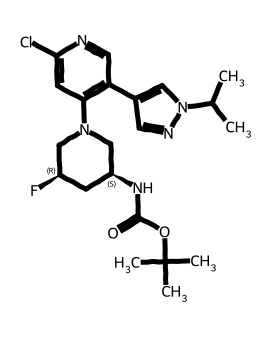 CC(C)n1cc(-c2cnc(Cl)cc2N2C[C@H](F)C[C@H](NC(=O)OC(C)(C)C)C2)cn1